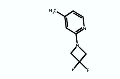 Cc1ccnc(N2CC(F)(F)C2)c1